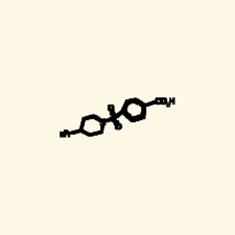 CCCC1CCN(S(=O)(=O)c2ccc(C(=O)O)cc2)CC1